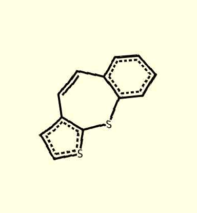 C1=Cc2ccsc2Sc2ccccc21